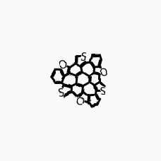 c1cc2oc3c4csc5c6cccc7oc8c9csc%10c%11cccc%12oc%13c%14csc%15c(c1)c2c3c1c(c45)c(c8c76)c(c9%10)c(c%13c%12%11)c1c%14%15